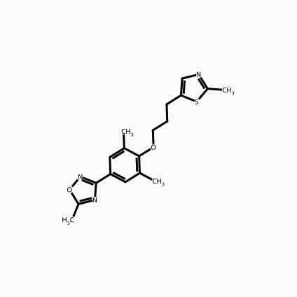 Cc1nc(-c2cc(C)c(OCCCc3cnc(C)s3)c(C)c2)no1